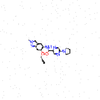 C#CCOc1cc2nn(C)cc2cc1NC(=O)c1cnc(N2CCCC2)cn1